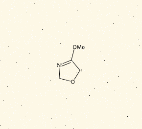 COC1=NCO[C]1